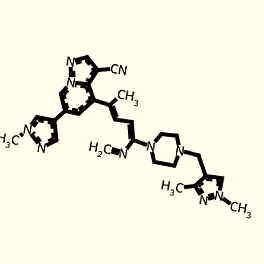 C=N/C(=C\C=C(/C)c1cc(-c2cnn(C)c2)cn2ncc(C#N)c12)N1CCN(Cc2cn(C)nc2C)CC1